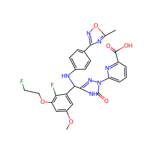 COc1cc(OCCF)c(F)c(C(Nc2ccc(-c3noc(C)n3)cc2)c2nn(-c3cccc(C(=O)O)n3)c(=O)[nH]2)c1